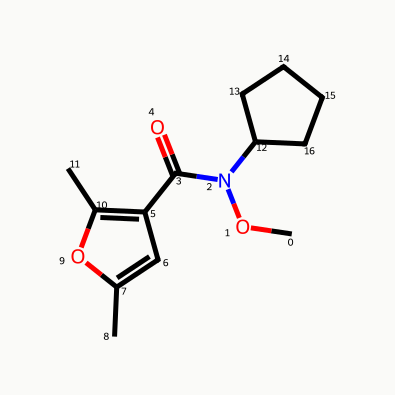 CON(C(=O)c1cc(C)oc1C)C1CCCC1